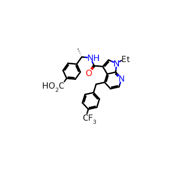 CCn1cc(C(=O)N[C@@H](C)c2ccc(C(=O)O)cc2)c2c(Cc3ccc(C(F)(F)F)cc3)ccnc21